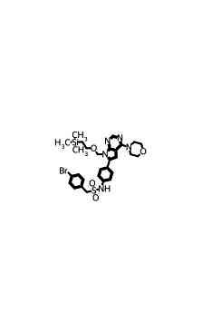 C[Si](C)(C)CCOCn1c(-c2ccc(NS(=O)(=O)Cc3ccc(Br)cc3)cc2)cc2c(N3CCOCC3)ncnc21